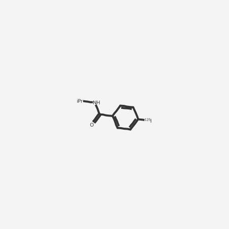 CC(C)NC(=O)c1ccc([125I])cc1